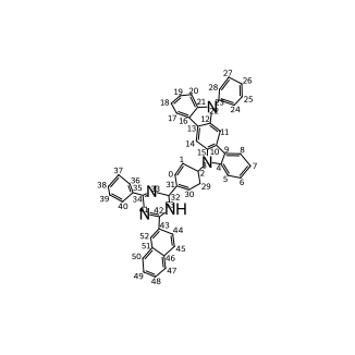 C1=CC(n2c3ccccc3c3cc4c(cc32)c2ccccc2n4-c2ccccc2)CC=C1C1N=C(c2ccccc2)N=C(c2ccc3ccccc3c2)N1